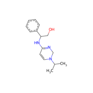 CC(C)N1C=CC(NC(CO)c2ccccc2)=NC1